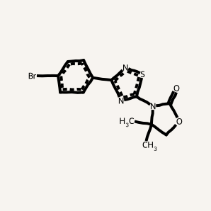 CC1(C)COC(=O)N1c1nc(-c2ccc(Br)cc2)ns1